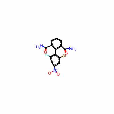 NC(=O)c1cccc(C(N)=O)c1-c1c(F)cc([N+](=O)[O-])cc1Br